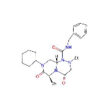 CCN1CC(=O)N2[C@@H](C(C)C)C(=O)N(C3CCCCC3)C[C@@H]2N1C(=O)NCc1ccccc1